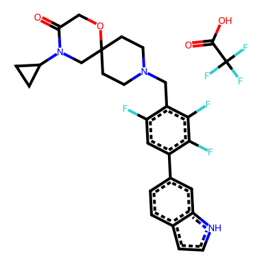 O=C(O)C(F)(F)F.O=C1COC2(CCN(Cc3c(F)cc(-c4ccc5cc[nH]c5c4)c(F)c3F)CC2)CN1C1CC1